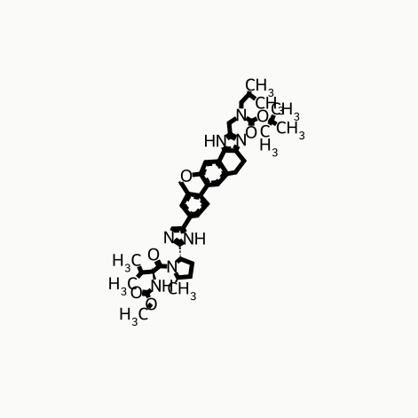 COC(=O)N[C@H](C(=O)N1[C@@H](C)CC[C@H]1c1ncc(-c2ccc3c(c2)COc2cc4c(cc2-3)CCc2nc(CN(CC(C)C)C(=O)OC(C)(C)C)[nH]c2-4)[nH]1)C(C)C